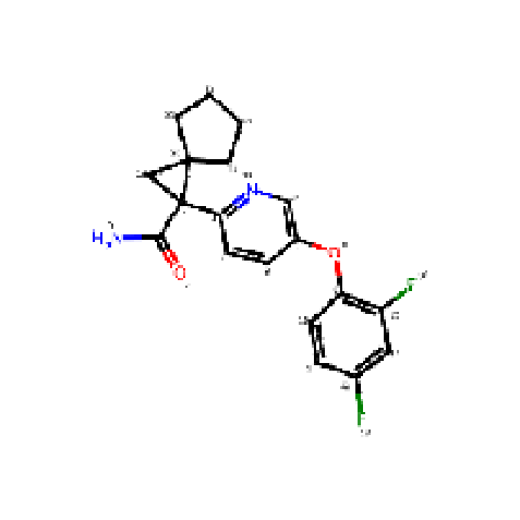 NC(=O)C1(c2ccc(Oc3ccc(F)cc3F)cn2)CC12CCCC2